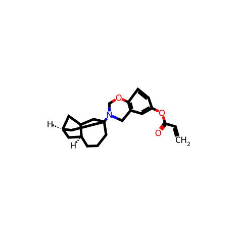 C=CC(=O)Oc1ccc2c(c1)CN(C13CCC[C@H]4C[C@@H](CC4C1)C3)CO2